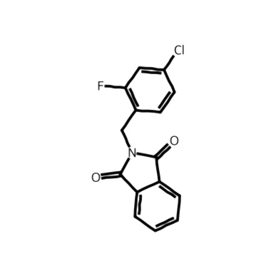 O=C1c2ccccc2C(=O)N1Cc1ccc(Cl)cc1F